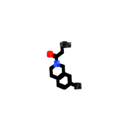 CCc1ccc2c(c1)CN(C(=O)CC(C)(C)C)CC2